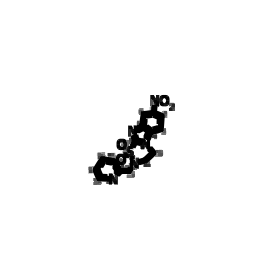 O=[N+]([O-])c1ccc2c(c1)nc1n2CCN(Cc2ccccn2)S1(=O)=O